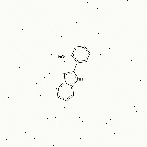 Oc1ccccc1-c1[c]c2ccccc2[nH]1